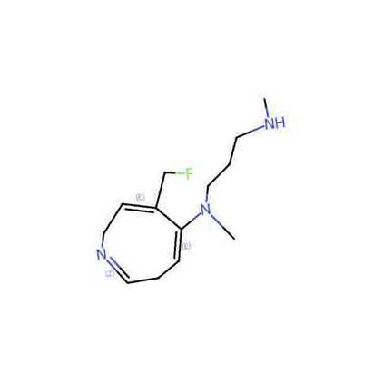 CNCCCN(C)C1=C/C/C=N\C/C=C\1CF